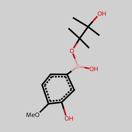 COc1ccc(B(O)OC(C)(C)C(C)(C)O)cc1O